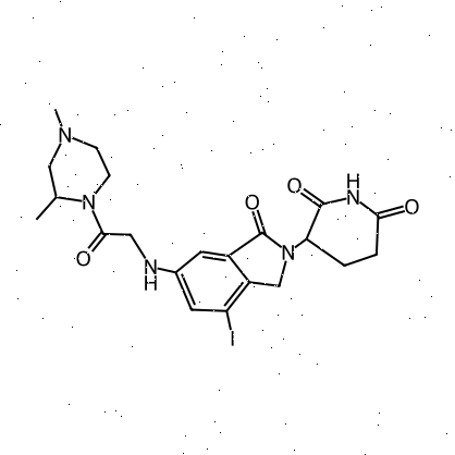 CC1CN(C)CCN1C(=O)CNc1cc(I)c2c(c1)C(=O)N(C1CCC(=O)NC1=O)C2